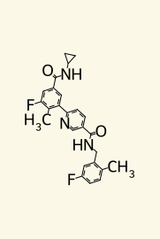 Cc1ccc(F)cc1CNC(=O)c1ccc(-c2cc(C(=O)NC3CC3)cc(F)c2C)nc1